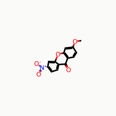 COc1ccc2c(=O)c3ccc([N+](=O)[O-])cc3oc2c1